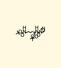 CC(C)(C)OC(=O)NCCCC[C@H](NC(=O)n1ccnc1)C(=O)OC(C)(C)C